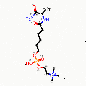 CC(C)C(NC(=O)CCCCCOP(=O)(O)OCC[N+](C)(C)C)C(N)=O